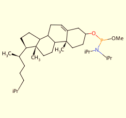 COP(OC1CC[C@@]2(C)C(=CCC3C2CC[C@@]2(C)C3CC[C@@H]2[C@H](C)CCCC(C)C)C1)N(C(C)C)C(C)C